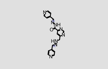 O=C(N/N=C/c1ccncc1)c1cc(CN/N=C/c2ccncc2)ncn1